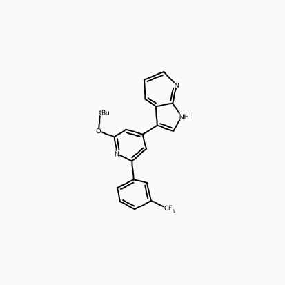 CC(C)(C)Oc1cc(-c2c[nH]c3ncccc23)cc(-c2cccc(C(F)(F)F)c2)n1